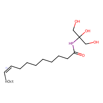 CCCCCCCC/C=C\CCCCCCCC(=O)PC(O)(CO)CO